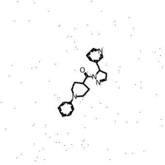 O=C(C1CCN(c2ccccc2)CC1)N1N=CCC1c1cccnc1